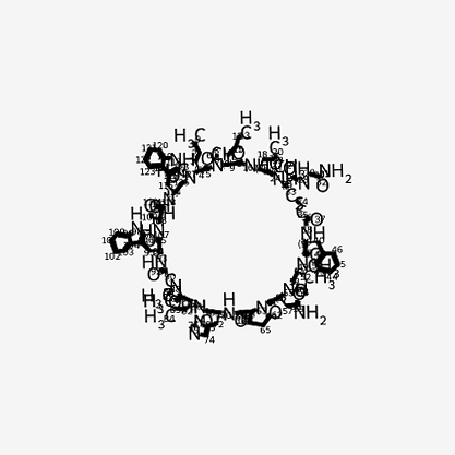 CCCC[C@H]1C(=O)N(C)[C@@H](CCCC)C(=O)N[C@@H](CC(C)C)C(=O)N[C@H](C(=O)NCC(N)=O)CSCC(=O)N[C@@H](Cc2ccccc2)C(=O)N(C)[C@@H](C)C(=O)N[C@@H](CC(N)=O)C(=O)N2CCC[C@H]2C(=O)N[C@@H](Cc2cnc[nH]2)C(=O)N[C@@H](CC(C)C)C(=O)N(C)CC(=O)N[C@@H](Cc2c[nH]c3ccccc23)C(=O)N[C@@H](CO)C(=O)N[C@@H](Cc2c[nH]c3ccccc23)C(=O)N1C